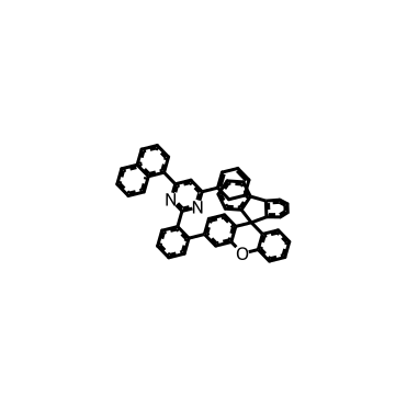 C1=CCCC(c2cc(-c3cccc4ccccc34)nc(-c3ccccc3-c3ccc4c(c3)Oc3ccccc3C43c4ccccc4-c4ccccc43)n2)=C1